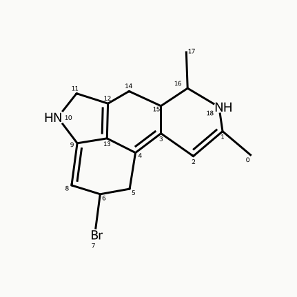 CC1=CC2=C3CC(Br)C=C4NCC(=C43)CC2C(C)N1